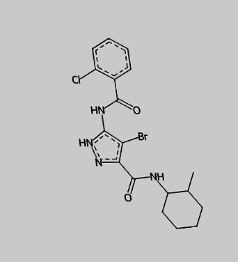 CC1CCCCC1NC(=O)c1n[nH]c(NC(=O)c2ccccc2Cl)c1Br